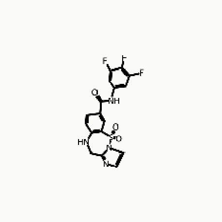 O=C(Nc1cc(F)c(F)c(F)c1)c1ccc2c(c1)S(=O)(=O)n1ccnc1CN2